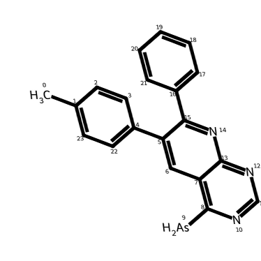 Cc1ccc(-c2cc3c([AsH2])ncnc3nc2-c2ccccc2)cc1